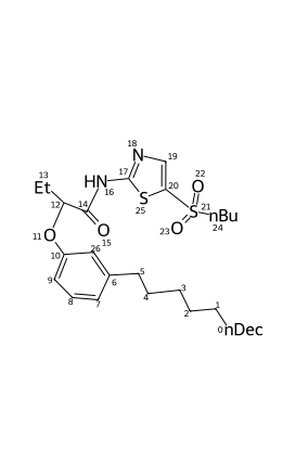 CCCCCCCCCCCCCCCc1cccc(OC(CC)C(=O)Nc2ncc(S(=O)(=O)CCCC)s2)c1